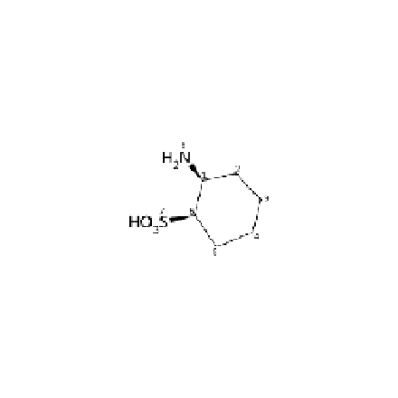 N[C@H]1CCCC[C@H]1S(=O)(=O)O